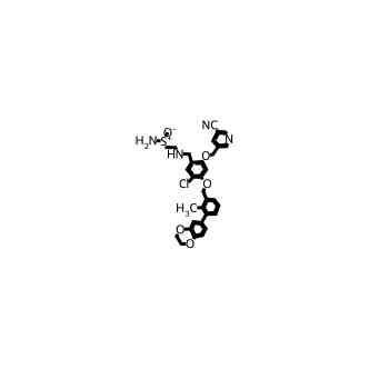 Cc1c(COc2cc(OCc3cncc(C#N)c3)c(CNCC[S+](N)[O-])cc2Cl)cccc1-c1ccc2c(c1)OCCO2